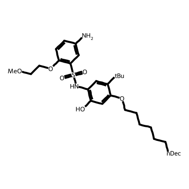 CCCCCCCCCCCCCCCCOc1cc(O)c(NS(=O)(=O)c2cc(N)ccc2OCCOC)cc1C(C)(C)C